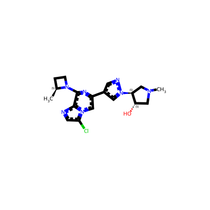 C[C@H]1CCN1c1nc(-c2cnn([C@H]3CN(C)C[C@@H]3O)c2)cn2c(Cl)cnc12